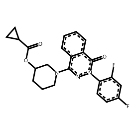 O=C(OC1CCCN(c2nn(-c3ccc(F)cc3F)c(=O)c3ccccc23)C1)C1CC1